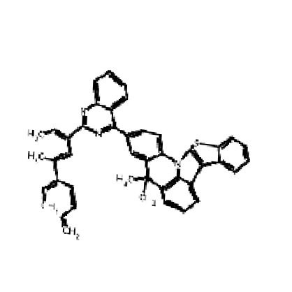 C=C\C=C/C(=C\C)C(/C)=C/C(=C\C)c1nc(-c2ccc3c(c2)C(C)(C)c2cccc4c5c6ccccc6sc5n-3c24)c2ccccc2n1